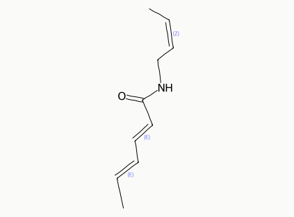 C/C=C\CNC(=O)/C=C/C=C/C